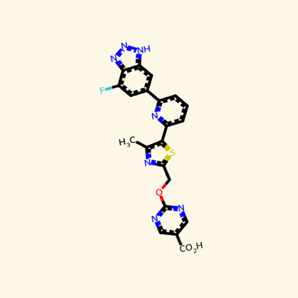 Cc1nc(COc2ncc(C(=O)O)cn2)sc1-c1cccc(-c2cc(F)c3nn[nH]c3c2)n1